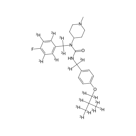 [2H]c1c([2H])c(C([2H])([2H])N(C(=O)NC([2H])([2H])c2ccc(OC([2H])([2H])C([2H])(C([2H])([2H])[2H])C([2H])([2H])[2H])cc2)C2CCN(C)CC2)c([2H])c([2H])c1F